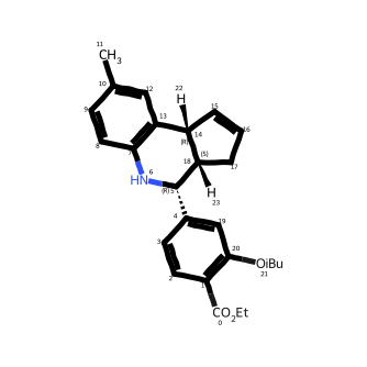 CCOC(=O)c1ccc([C@@H]2Nc3ccc(C)cc3[C@@H]3C=CC[C@@H]32)cc1OCC(C)C